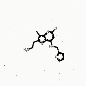 Cc1c(CCN)sc2c(NCc3ccco3)cc(Cl)nc12